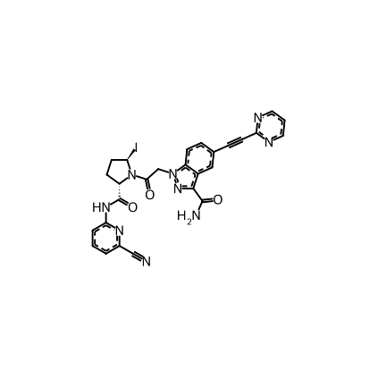 N#Cc1cccc(NC(=O)[C@@H]2CC[C@@H](I)N2C(=O)Cn2nc(C(N)=O)c3cc(C#Cc4ncccn4)ccc32)n1